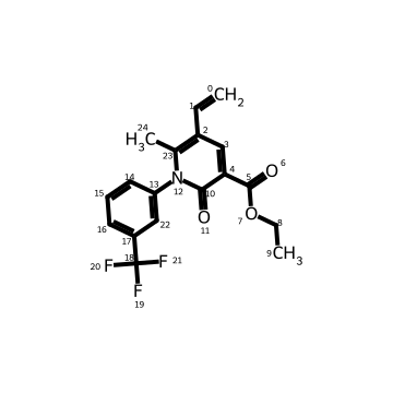 C=Cc1cc(C(=O)OCC)c(=O)n(-c2cccc(C(F)(F)F)c2)c1C